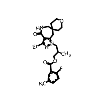 CCc1nn(C[C@@H](C)COC(=O)c2cc(C#N)ccc2F)c2c1C(=O)NCC1(CCOCC1)C2